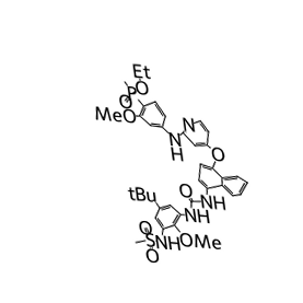 CCOP(C)(=O)c1ccc(Nc2cc(Oc3ccc(NC(=O)Nc4cc(C(C)(C)C)cc(NS(C)(=O)=O)c4OC)c4ccccc34)ccn2)cc1OC